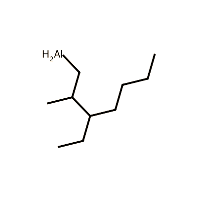 CCCCC(CC)C(C)[CH2][AlH2]